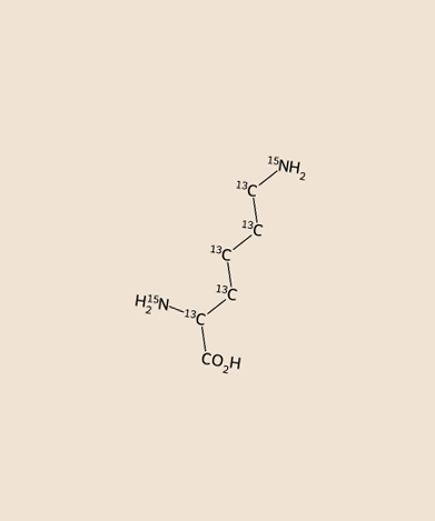 [15NH2][13CH2][13CH2][13CH2][13CH2][13CH]([15NH2])[13C](=O)O